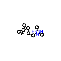 CC1(C)c2ccccc2C2C=C3C(=CC21)c1c(-c2cccc(-c4cccc(C5N=C(c6ccccc6)NC(c6ccccc6)N5)c4)c2)cccc1C31CCCCC1